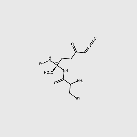 CCN[C@](CCC(=O)C=[N+]=[N-])(NC(=O)C(N)CC(C)C)C(=O)O